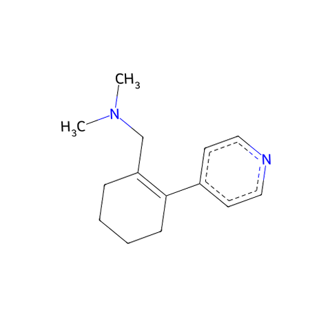 CN(C)CC1=C(c2ccncc2)CCCC1